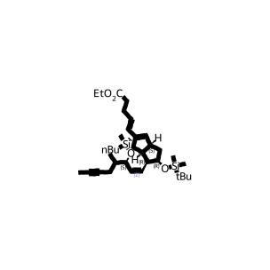 CC#CCC(C)[C@@H](/C=C\[C@H]1[C@H]2CC(C=CCCC(=O)OCC)=C[C@H]2C[C@H]1O[Si](C)(C)C(C)(C)C)O[Si](C)(C)CCCC